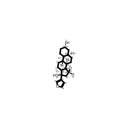 C[C@]12CC[C@H](S)C[C@H]1CC[C@@H]1[C@@H]2CC[C@@]2(C)[C@@]13O[C@@H]3C[C@]2(O)c1ccoc1